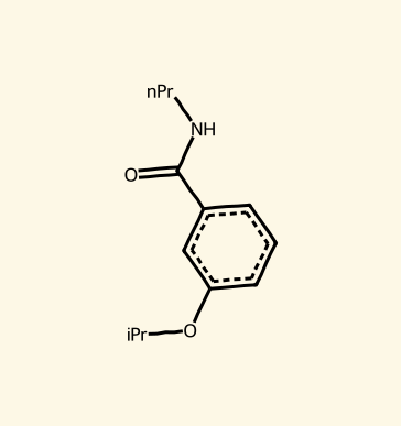 CCCNC(=O)c1cccc(OC(C)C)c1